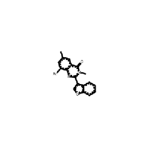 CC(=O)c1cc(C)cc2c(=O)n(C)c(-c3coc4ccccc34)nc12